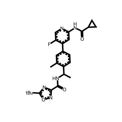 Cc1cc(-c2cc(NC(=O)C3CC3)ncc2F)ccc1C(C)NC(=O)c1noc(C(C)(C)C)n1